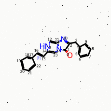 O=c1c(Cc2ccccc2)nc2c[nH]c(/C=C/c3ccccc3)cn1-2